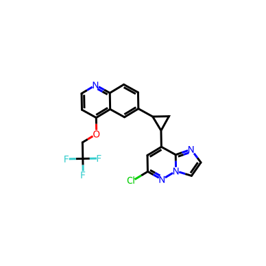 FC(F)(F)COc1ccnc2ccc(C3CC3c3cc(Cl)nn4ccnc34)cc12